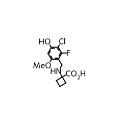 COc1cc(O)c(Cl)c(F)c1CNC1(C(=O)O)CCC1